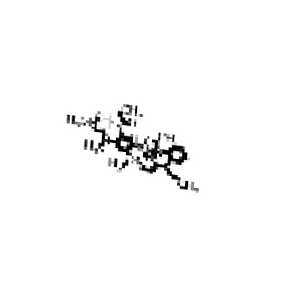 C=CC(=O)Nc1cc(Nc2nccc(C(CCC)c3ccccc3NC(C)C)n2)c(OC)cc1N(C)CCN(C)C